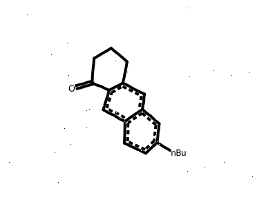 CCCCc1ccc2cc3c(cc2c1)CCCC3=O